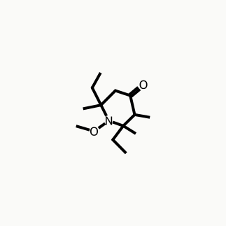 CCC1(C)CC(=O)C(C)C(C)(CC)N1OC